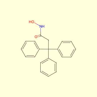 O=C(CC(c1ccccc1)(c1ccccc1)c1ccccc1)NO